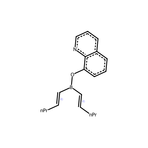 CCC/C=C/B(/C=C/CCC)Oc1cccc2cccnc12